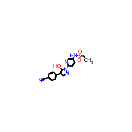 CCS(=O)(=O)Nc1ccc(-n2ncc(-c3ccc(C#N)cc3)c2O)nc1